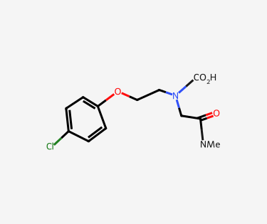 CNC(=O)CN(CCOc1ccc(Cl)cc1)C(=O)O